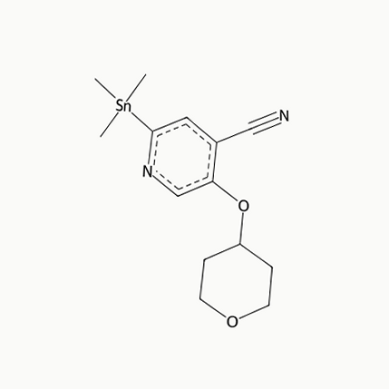 [CH3][Sn]([CH3])([CH3])[c]1cc(C#N)c(OC2CCOCC2)cn1